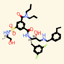 CCCN(CCC)C(=O)c1cc(C(=O)N[C@@H](Cc2cc(F)cc(F)c2)[C@H](O)CNCc2cccc(CC)c2)cc(S(=O)(=O)N[C@@H](C)CO)c1